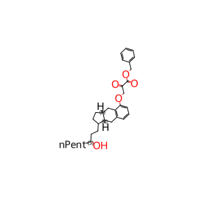 CCCCC[C@H](O)CCC1CC[C@@H]2Cc3c(cccc3OCC(=O)C(=O)OCc3ccccc3)C[C@H]12